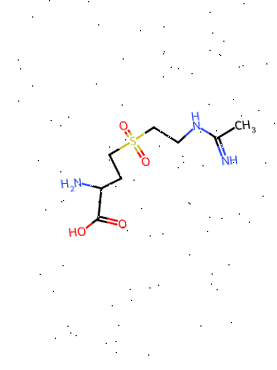 CC(=N)NCCS(=O)(=O)CCC(N)C(=O)O